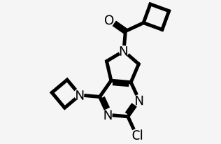 O=C(C1CCC1)N1Cc2nc(Cl)nc(N3CCC3)c2C1